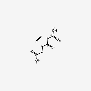 C=C.O=C(O)CCC(=O)CC(=O)O